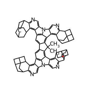 CC1(C)c2c(cc3c4c5c(ncc4n4c6cnc7c(c6c2c34)C2CC3CC4CC7C34C2)C2CC3CC(C2)CC5C3)-c2cc3c4c5c(ncc4n4c6cnc7c(c6c(c21)c34)C1CC2CC3CC7CC321)C1CC2CC3CC5C23C1